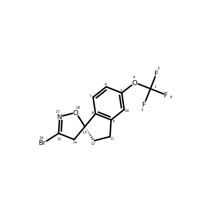 FC(F)(F)Oc1ccc2c(c1)CC[C@@]21CC(Br)=NO1